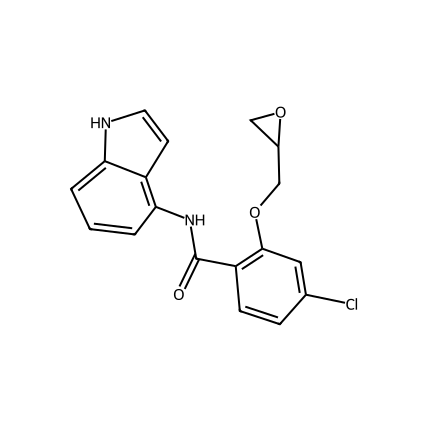 O=C(Nc1cccc2[nH]ccc12)c1ccc(Cl)cc1OCC1CO1